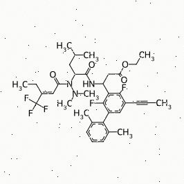 CC#Cc1cc(-c2c(C)cccc2C)c(F)c(C(CC(=O)OCC)NC(=O)C(CC(C)C)N(C(=O)/C=C(\CC)C(F)(F)F)N(C)C)c1F